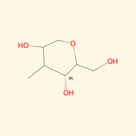 CC1C(O)COC(CO)[C@@H]1O